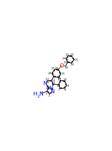 Nc1cnn2c(-c3ccccc3)c(-c3ccc(OCc4ccccc4)cc3)cnc12